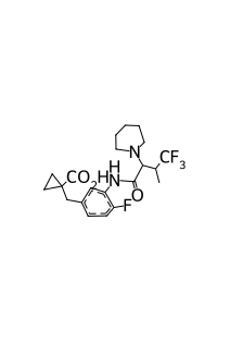 CC(C(C(=O)Nc1cc(CC2(C(=O)O)CC2)ccc1F)N1CCCCC1)C(F)(F)F